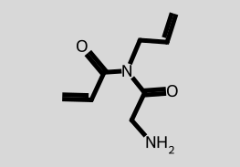 C=CCN(C(=O)C=C)C(=O)CN